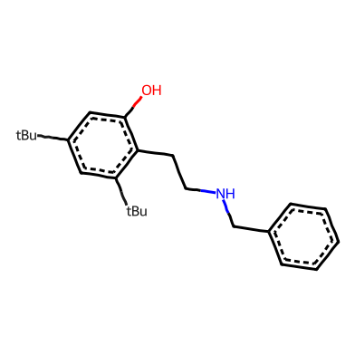 CC(C)(C)c1cc(O)c(CCNCc2ccccc2)c(C(C)(C)C)c1